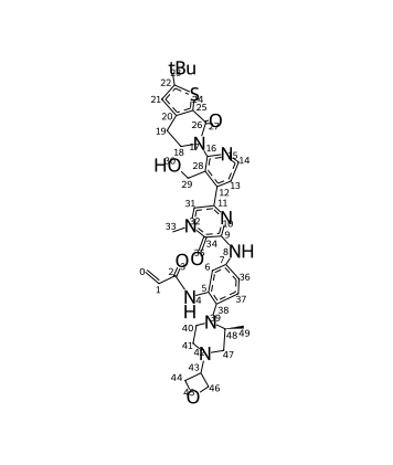 C=CC(=O)Nc1cc(Nc2nc(-c3ccnc(N4CCc5cc(C(C)(C)C)sc5C4=O)c3CO)cn(C)c2=O)ccc1N1CCN(C2COC2)C[C@@H]1C